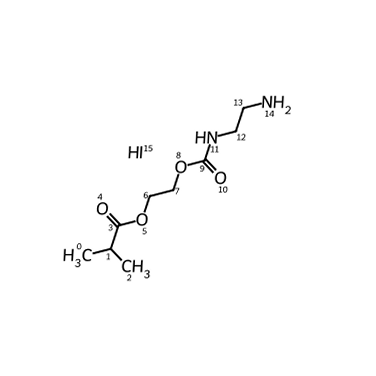 CC(C)C(=O)OCCOC(=O)NCCN.I